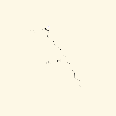 CCCCCCCC/C=C\CCCCCCCCNCCCN.Cl.Cl